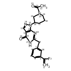 C=C(F)c1cccc(Cc2nc3c(cnn3C3CCCN(C(C)=O)C3)c(=O)[nH]2)c1